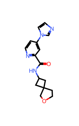 O=C(NC1CC2(CCOC2)C1)c1cc(-n2ccnc2)ccn1